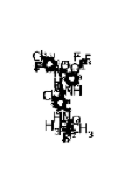 CC(C)(C(=O)NCc1ccc(Cl)c(C(=O)Nc2ccc(OCC(F)F)c(C(=O)Nc3ccc(Cl)c(F)c3)c2)c1)C(F)(F)F